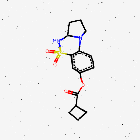 O=C(Oc1ccc2c(c1)S(=O)(=O)NC1CCCN21)C1CCC1